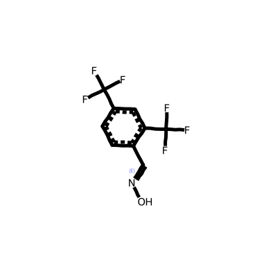 O/N=C/c1ccc(C(F)(F)F)cc1C(F)(F)F